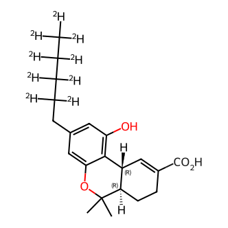 [2H]C([2H])([2H])C([2H])([2H])C([2H])([2H])C([2H])([2H])Cc1cc(O)c2c(c1)OC(C)(C)[C@@H]1CCC(C(=O)O)=C[C@@H]21